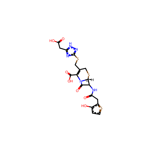 O=C(O)Cc1nc(SCC2=C(C(=O)O)N3C(=O)C(NC(=O)Cc4sccc4O)[C@H]3SC2)n[nH]1